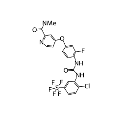 CNC(=O)c1cc(Oc2ccc(NC(=O)Nc3cc(S(F)(F)(F)(F)F)ccc3Cl)c(F)c2)ccn1